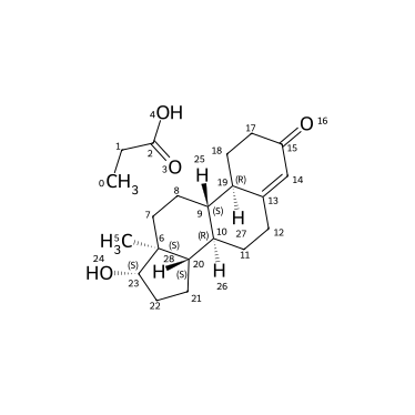 CCC(=O)O.C[C@]12CC[C@H]3[C@@H](CCC4=CC(=O)CC[C@@H]43)[C@@H]1CC[C@@H]2O